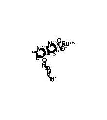 O=N[O-].O=N[O-].O=N[O-].[Ru+3].c1ccncc1.c1ccncc1